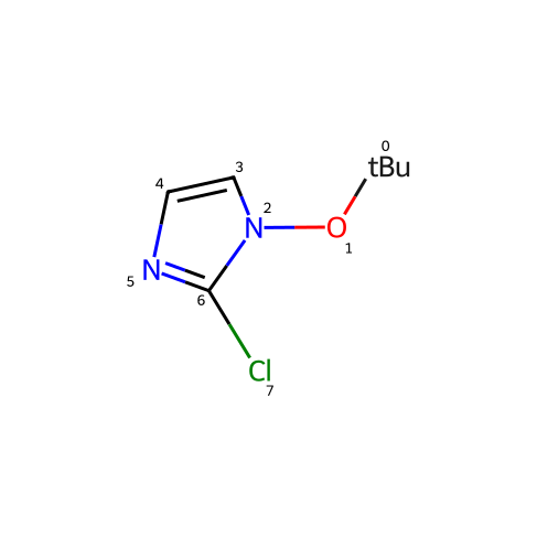 CC(C)(C)On1ccnc1Cl